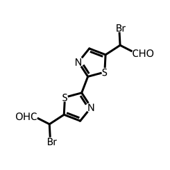 O=CC(Br)c1cnc(-c2ncc(C(Br)C=O)s2)s1